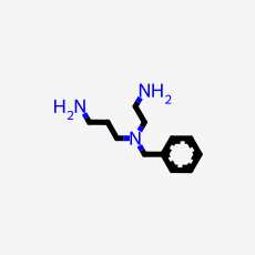 NCCCN(CCN)Cc1ccccc1